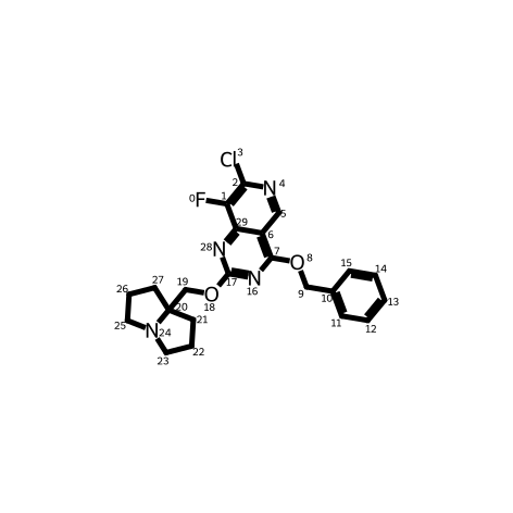 Fc1c(Cl)ncc2c(OCc3ccccc3)nc(OCC34CCCN3CCC4)nc12